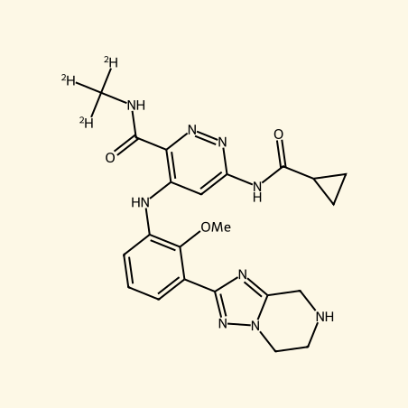 [2H]C([2H])([2H])NC(=O)c1nnc(NC(=O)C2CC2)cc1Nc1cccc(-c2nc3n(n2)CCNC3)c1OC